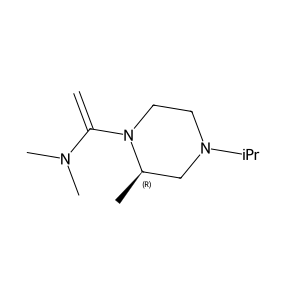 C=C(N(C)C)N1CCN(C(C)C)C[C@H]1C